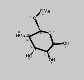 COO[C@H]1OC(O)[C@@H](O)[C@H](O)[C@@H]1O